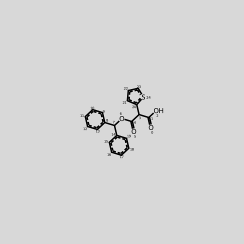 O=C(O)C(C(=O)OC(c1ccccc1)c1ccccc1)c1cccs1